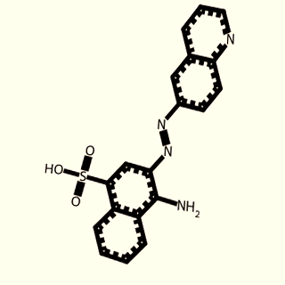 Nc1c(N=Nc2ccc3ncccc3c2)cc(S(=O)(=O)O)c2ccccc12